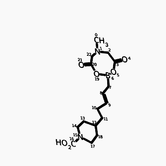 CN1CC(=O)OB(CC=CCCC2CCN(C(=O)O)CC2)OC(=O)C1